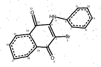 O=C1C(Br)=C(Nc2ccccc2)C(=O)c2ccccc21